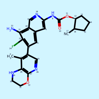 Cc1c(-c2cc3cc(NC(=O)O[C@H]4CCCC4C#N)ncc3c(N)c2F)cnc2c1NCCO2